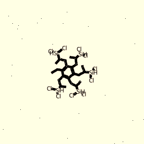 CCc1c(CC(C)[SiH](Cl)Cl)c(CC(C)[SiH](Cl)Cl)c(CC(C)[SiH](Cl)Cl)c(CC(C)[SiH](Cl)Cl)c1CC(C)[SiH](Cl)Cl